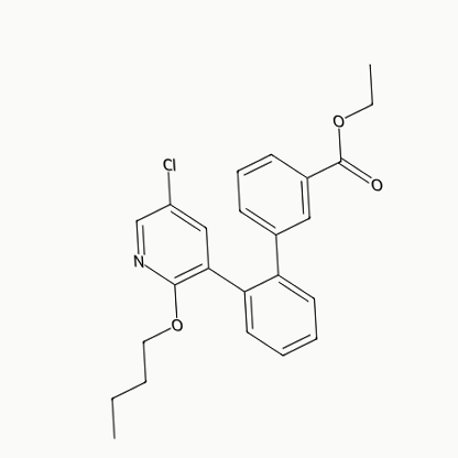 CCCCOc1ncc(Cl)cc1-c1ccccc1-c1cccc(C(=O)OCC)c1